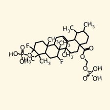 CC1CCC2(C(=O)OCOP(=O)(O)O)CCC3(C)C(=CCC4C5(C)CCC(F)(OP(=O)(O)O)C(C)(C)C5CC(F)C43C)C2C1C